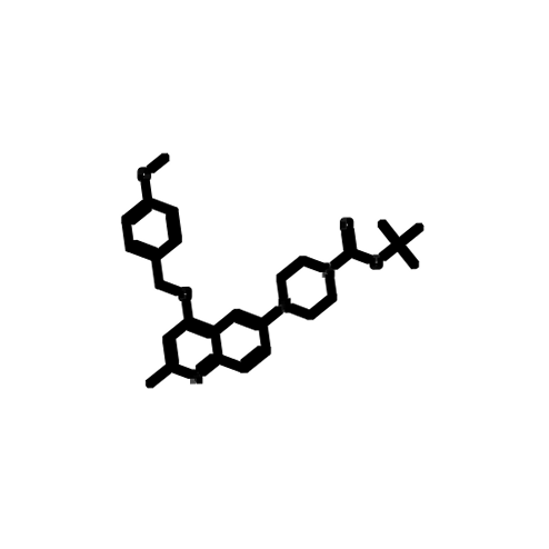 COc1ccc(COc2cc(C)nc3ccc(N4CCN(C(=O)OC(C)(C)C)CC4)cc23)cc1